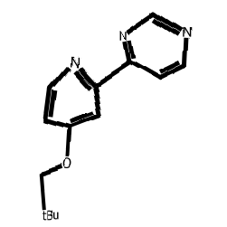 CC(C)(C)COc1ccnc(-c2ccncn2)c1